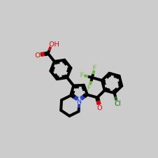 O=C(O)c1ccc(-c2cc(C(=O)c3c(Cl)cccc3C(F)(F)F)n3c2CCCC3)cc1